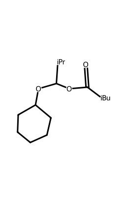 CCC(C)C(=O)OC(OC1CCCCC1)C(C)C